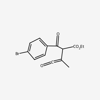 CCOC(=O)C(C(=O)c1ccc(Br)cc1)C(C)=C=O